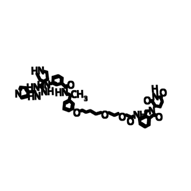 C[C@@H](NC(=O)c1cccc(NC2(C(=N)NC(=N)c3ccncc3)CCNCC2)c1)c1cccc(OCCCCCOCCCOCC(=O)Nc2cccc3c2CN(C2CCC(=O)NC2=O)C3=O)c1